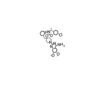 COc1cc2nc(N3CCC(Cc4ccccc4)(OC(=O)NC(C)c4ccc(Cl)cc4)CC3)nc(N)c2cc1OC